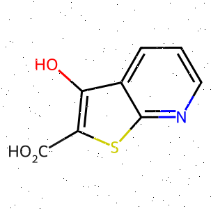 O=C(O)c1sc2ncccc2c1O